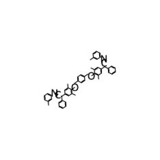 Cc1cccc(N=C=C(c2ccccc2)c2cc(C)c(OCc3ccc(COc4c(C)cc(C(=C=Nc5cccc(C)c5)c5ccccc5)cc4C)cc3)c(C)c2)c1